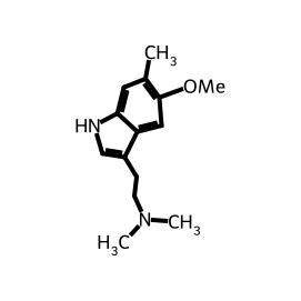 COc1cc2c(CCN(C)C)c[nH]c2cc1C